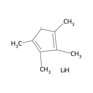 CC1=C(C)C(C)=C(C)[CH]1.[LiH]